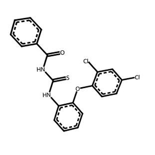 O=C(NC(=S)Nc1ccccc1Oc1ccc(Cl)cc1Cl)c1ccccc1